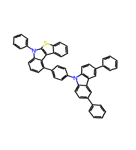 c1ccc(-c2ccc3c(c2)c2cc(-c4ccccc4)ccc2n3-c2ccc(-c3cccc4c3c3c5ccccc5sc3n4-c3ccccc3)cc2)cc1